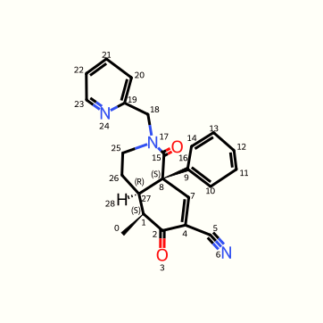 C[C@@H]1C(=O)C(C#N)=C[C@@]2(c3ccccc3)C(=O)N(Cc3ccccn3)CC[C@H]12